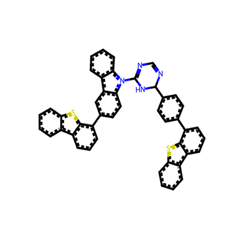 C1=NC(c2ccc(-c3cccc4c3sc3ccccc34)cc2)NC(n2c3ccccc3c3cc(-c4cccc5c4sc4ccccc45)ccc32)=N1